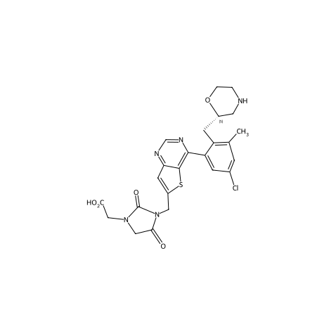 Cc1cc(Cl)cc(-c2ncnc3cc(CN4C(=O)CN(CC(=O)O)C4=O)sc23)c1C[C@H]1CNCCO1